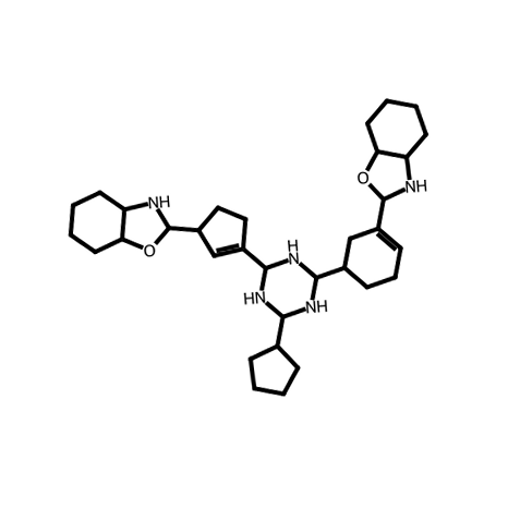 C1=C(C2NC(C3CCCC3)NC(C3CCC=C(C4NC5CCCCC5O4)C3)N2)CCC1C1NC2CCCCC2O1